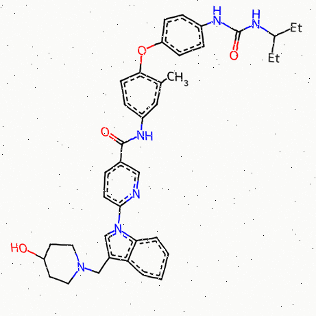 CCC(CC)NC(=O)Nc1ccc(Oc2ccc(NC(=O)c3ccc(-n4cc(CN5CCC(O)CC5)c5ccccc54)nc3)cc2C)cc1